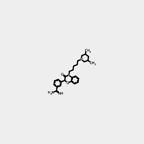 CC1CC(C)CN(CCCCCN2C(=O)C(c3cccc(C(=N)N)c3)Oc3ccccc32)C1